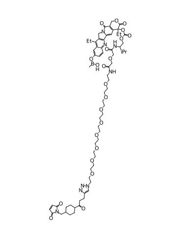 CCc1c2c(nc3ccc(OB(C)O)cc13)-c1cc3c(c(=O)n1C2)COC(=O)C3(CC)OC(=O)OCC(NC(=O)COCC(=O)NCCOCCOCCOCCOCCOCCOCCOCCOCCn1cc(CCC(=O)C2CCC(CN3C(=O)C=CC3=O)CC2)nn1)C(C)C